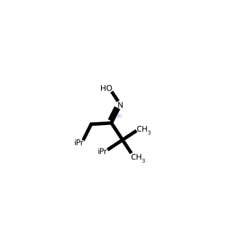 CC(C)C/C(=N\O)C(C)(C)C(C)C